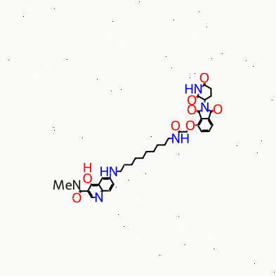 CNC(=O)c1cnc2ccc(NCCCCCCCCCCNC(=O)COc3cccc4c3C(=O)N(C3CCC(=O)NC3=O)C4=O)cc2c1O